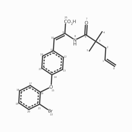 C=CCC(C)(C)C(=O)NC(=Cc1ccc(Oc2ccccc2Br)cc1)C(=O)O